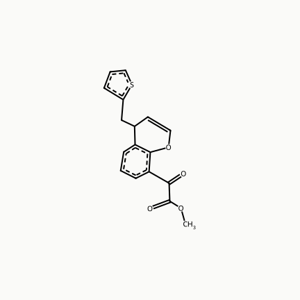 COC(=O)C(=O)c1cccc2c1OC=CC2Cc1cccs1